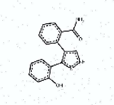 NC(=O)c1ccccc1-c1c[nH]nc1-c1ccccc1O